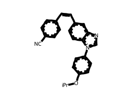 CC(C)Oc1ccc(-n2cnc3cc(/C=C\c4ccc(C#N)cc4)ccc32)cc1